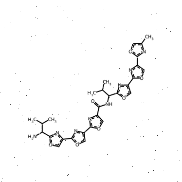 Cc1coc(-c2coc(-c3coc(C(NC(=O)c4coc(-c5coc(-c6coc(C(N)C(C)C)n6)n5)n4)C(C)C)n3)n2)n1